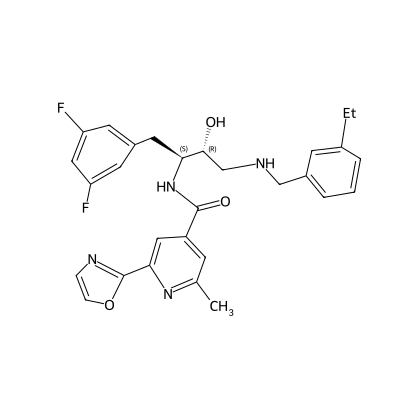 CCc1cccc(CNC[C@@H](O)[C@H](Cc2cc(F)cc(F)c2)NC(=O)c2cc(C)nc(-c3ncco3)c2)c1